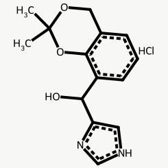 CC1(C)OCc2cccc(C(O)c3c[nH]cn3)c2O1.Cl